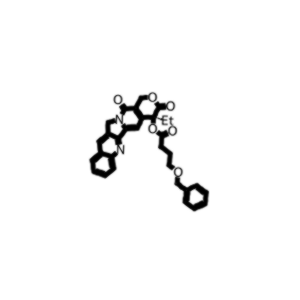 CC[C@@]1(OC(=O)CCCOCc2ccccc2)C(=O)OCc2c1cc1n(c2=O)Cc2cc3ccccc3nc2-1